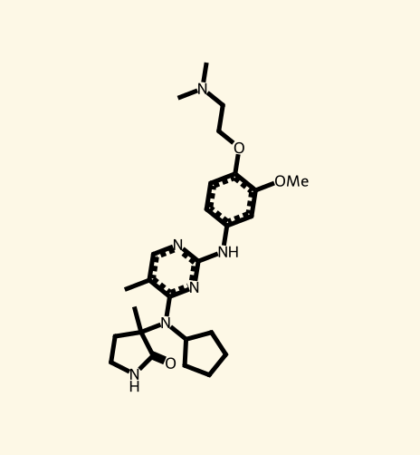 COc1cc(Nc2ncc(C)c(N(C3CCCC3)C3(C)CCNC3=O)n2)ccc1OCCN(C)C